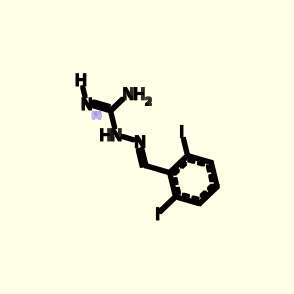 [H]/N=C(\N)NN=Cc1c(I)cccc1I